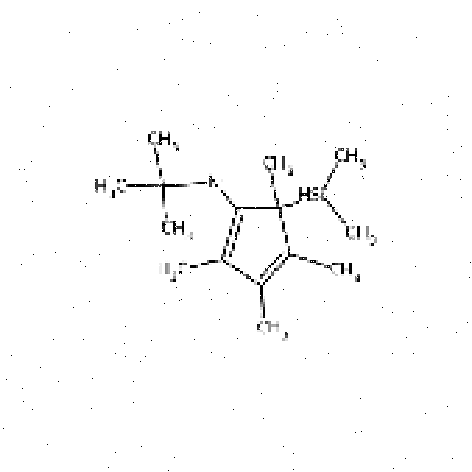 CC1=C(C)C(C)([SiH](C)C)C([N]C(C)(C)C)=C1C